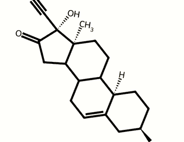 C#C[C@]1(O)C(=O)CC2C3CC=C4C[C@H](O)CC[C@@H]4C3CC[C@@]21C